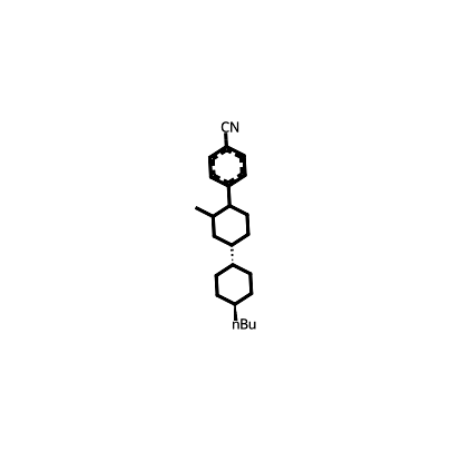 CCCC[C@H]1CC[C@H](C2CCC(c3ccc(C#N)cc3)C(C)C2)CC1